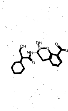 O=C(O)c1cccc2c1OB(O)[C@@H](NC(=O)C(CO)C1CCCCC1)C2